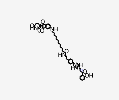 O=C(CCCCCCCCCCCNc1ccc2c(c1)C(=O)N(C1CCC(=O)NC1=O)C2=O)NCCc1ccc(N2C[C@H]3C[C@@H]2CN3/C=C/C(=O)c2ccccc2O)cc1